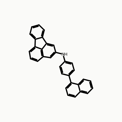 c1ccc2c(c1)-c1cccc3cc(Nc4ccc(-c5cccc6ccccc56)cc4)cc-2c13